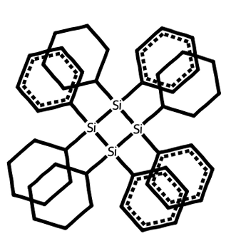 c1ccc([Si]2(C3CCCCC3)[Si](c3ccccc3)(C3CCCCC3)[Si](c3ccccc3)(C3CCCCC3)[Si]2(c2ccccc2)C2CCCCC2)cc1